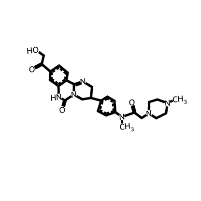 CN1CCN(CC(=O)N(C)c2ccc(C3CN=C4c5ccc(C(=O)CO)cc5NC(=O)N4C3)cc2)CC1